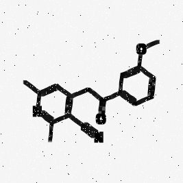 COc1cccc(C(=O)Cc2cc(C)nc(C)c2C#N)c1